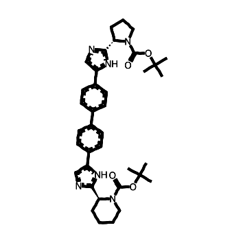 CC(C)(C)OC(=O)N1CCCC[C@H]1c1ncc(-c2ccc(-c3ccc(-c4cnc([C@@H]5CCCN5C(=O)OC(C)(C)C)[nH]4)cc3)cc2)[nH]1